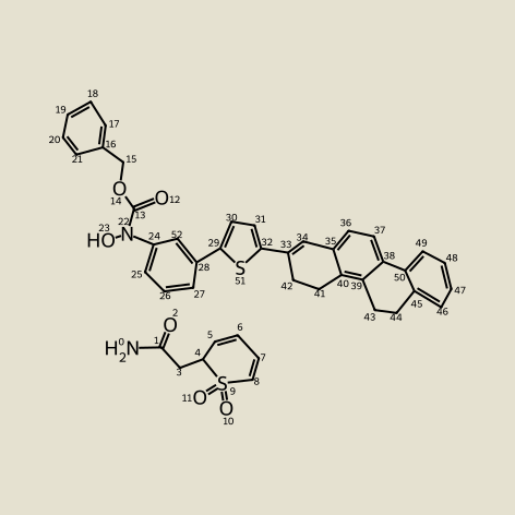 NC(=O)CC1C=CC=CS1(=O)=O.O=C(OCc1ccccc1)N(O)c1cccc(-c2ccc(C3=Cc4ccc5c(c4CC3)CCc3ccccc3-5)s2)c1